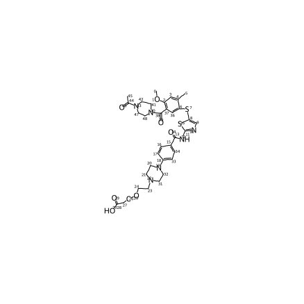 COc1cc(C)c(Sc2cnc(NC(=O)c3ccc(N4CCN(CCOCCC(=O)O)CC4)cc3)s2)cc1C(=O)N1CCN(C(C)=O)CC1